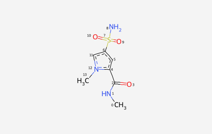 CNC(=O)c1cc(S(N)(=O)=O)cn1C